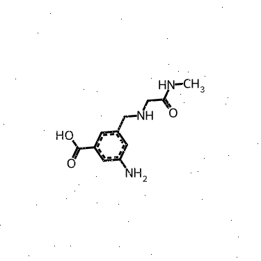 CNC(=O)CNCc1cc(N)cc(C(=O)O)c1